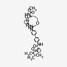 COC(=O)N[C@H]1CCCCOCc2[nH]c(nc2-c2ccc(-c3ccc(NC(=O)[C@@H]4CCCN4C(=O)[C@@H](C)C(C)C)cc3)cc2)[C@@H]2CCCN2C1=O